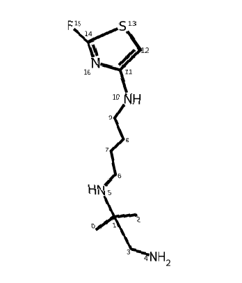 CC(C)(CN)NCCCCNc1csc(F)n1